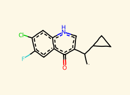 [CH2]C(c1c[nH]c2cc(Cl)c(F)cc2c1=O)C1CC1